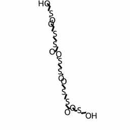 O=C(CSCCSCCOOCSCCSCOC(=O)CSCCSCCOOCSCCO)OCSCCO